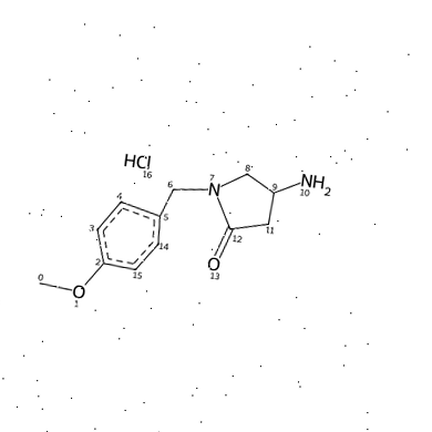 COc1ccc(CN2CC(N)CC2=O)cc1.Cl